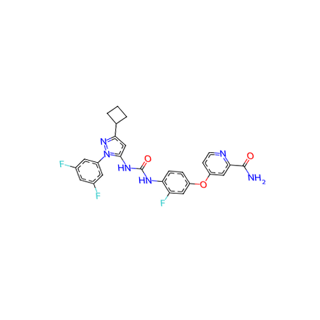 NC(=O)c1cc(Oc2ccc(NC(=O)Nc3cc(C4CCC4)nn3-c3cc(F)cc(F)c3)c(F)c2)ccn1